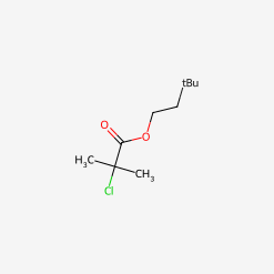 CC(C)(C)CCOC(=O)C(C)(C)Cl